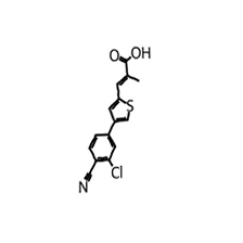 C/C(=C\c1cc(-c2ccc(C#N)c(Cl)c2)cs1)C(=O)O